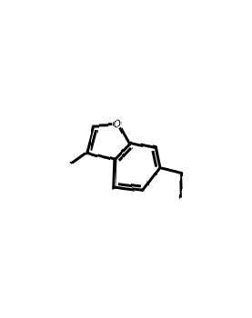 CCc1ccc2c(C)coc2c1